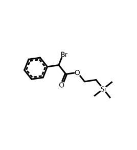 C[Si](C)(C)CCOC(=O)C(Br)c1ccccc1